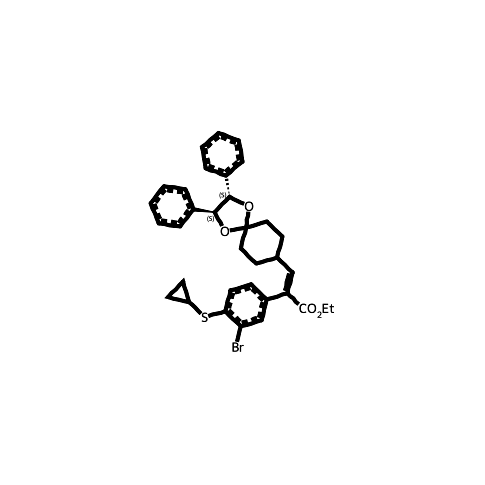 CCOC(=O)C(=CC1CCC2(CC1)O[C@@H](c1ccccc1)[C@H](c1ccccc1)O2)c1ccc(SC2CC2)c(Br)c1